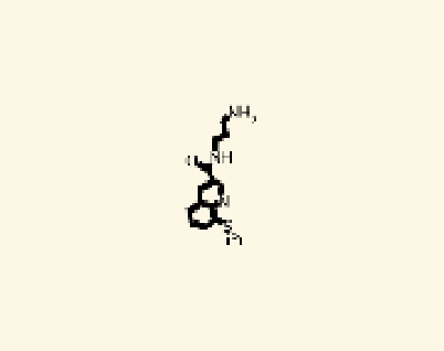 CC(C)Sc1cccc2cc(C(=O)NCCCN)cnc12